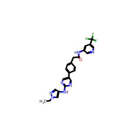 CCn1cc(Nc2ncc(-c3ccc(CC(=O)Nc4cncc(C(F)(F)F)c4)cc3)cn2)cn1